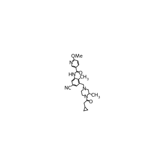 COc1ccc(C(=O)Nc2cc(C#N)cc(CN3CCN(C(=O)CC4CC4)C(C)C3)c2C)cn1